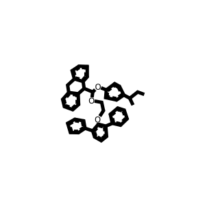 CCC(C)c1ccc(OC(OCCOc2c(-c3ccccc3)cccc2-c2ccccc2)C2c3ccccc3Cc3ccccc32)cc1